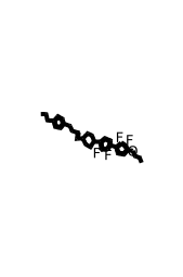 CCCOc1ccc(-c2ccc(C3CCC(/C=C/CCc4ccc(CCC)cc4)CC3)c(F)c2F)c(F)c1F